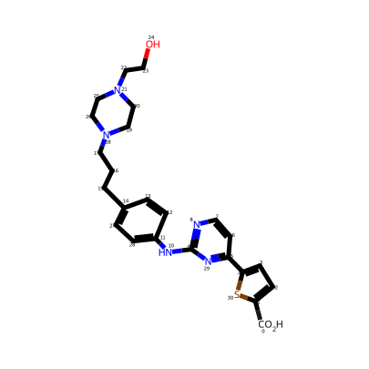 O=C(O)c1ccc(-c2ccnc(Nc3ccc(CCCN4CCN(CCO)CC4)cc3)n2)s1